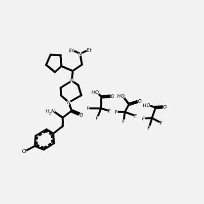 CCN(CC)CC(C1CCCC1)N1CCN(C(=O)C(N)Cc2ccc(Cl)cc2)CC1.O=C(O)C(F)(F)F.O=C(O)C(F)(F)F.O=C(O)C(F)(F)F